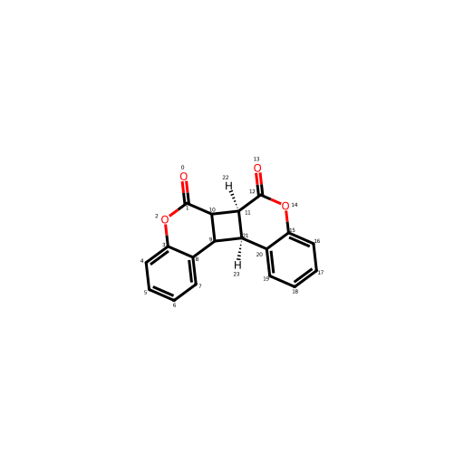 O=C1Oc2ccccc2C2C1[C@H]1C(=O)Oc3ccccc3[C@@H]21